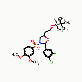 COc1ccc(S(=O)(=O)N2CC(CCO[Si](C)(C)C(C)(C)C)OC2c2ccc(Cl)c(Cl)c2)cc1OC